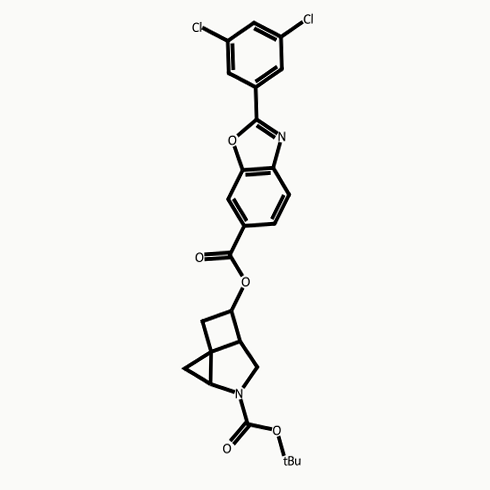 CC(C)(C)OC(=O)N1CC2C(OC(=O)c3ccc4nc(-c5cc(Cl)cc(Cl)c5)oc4c3)CC23CC13